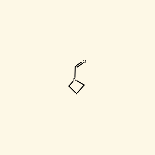 O=CN1C[CH]C1